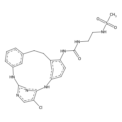 CS(=O)(=O)NCCNC(=O)Nc1ccc2cc1CCc1cccc(c1)Nc1ncc(Cl)c(n1)N2